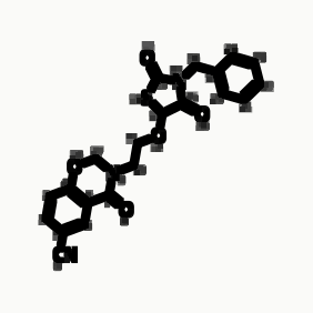 N#Cc1ccc2c(c1)C(=O)N(CCOC1SC(=O)N(Cc3ccccc3)C1=O)CO2